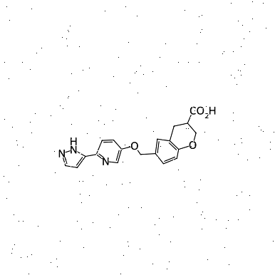 O=C(O)C1COc2ccc(COc3ccc(-c4ccn[nH]4)nc3)cc2C1